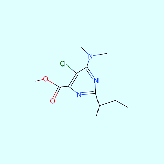 CCC(C)c1nc(C(=O)OC)c(Cl)c(N(C)C)n1